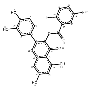 O=C(Oc1c(-c2ccc(O)c(O)c2)oc2cc(O)cc(O)c2c1=O)c1cc(F)ccc1F